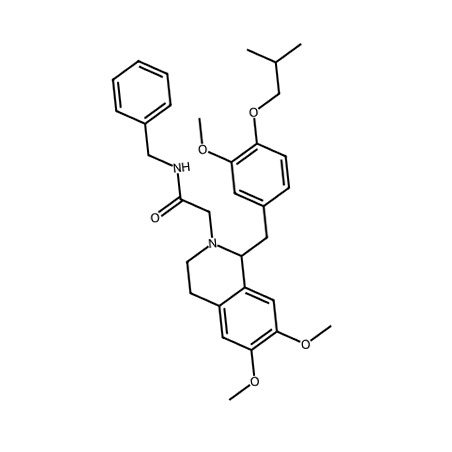 COc1cc2c(cc1OC)C(Cc1ccc(OCC(C)C)c(OC)c1)N(CC(=O)NCc1ccccc1)CC2